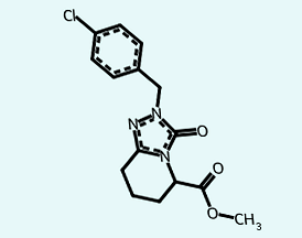 COC(=O)C1CCCc2nn(Cc3ccc(Cl)cc3)c(=O)n21